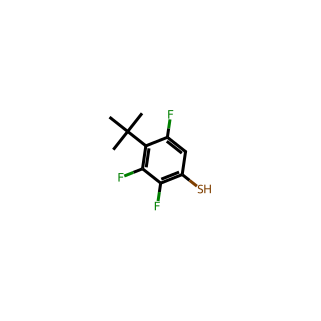 CC(C)(C)c1c(F)cc(S)c(F)c1F